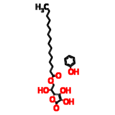 CCCCCCCCCCCCCCCC(=O)OC[C@H](O)[C@H]1OC(=O)C(O)=C1O.Oc1ccccc1